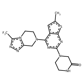 Cc1cc2c(N3CCn4c(nnc4C(F)(F)F)C3)nc(N3CCNC(=O)C3)nc2s1